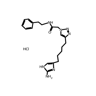 Cl.Nc1nc(CCCCCc2cn(CC(=O)NCCc3ccccc3)nn2)c[nH]1